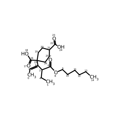 CC=C(C(CC)C(=O)OCCCCCC)C1(C(=O)O)CCC(C(=O)O)CC1